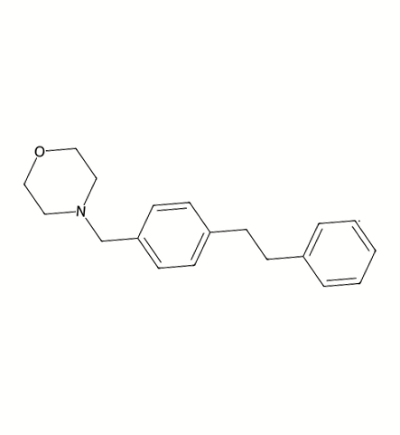 [c]1cccc(CCc2ccc(CN3CCOCC3)cc2)c1